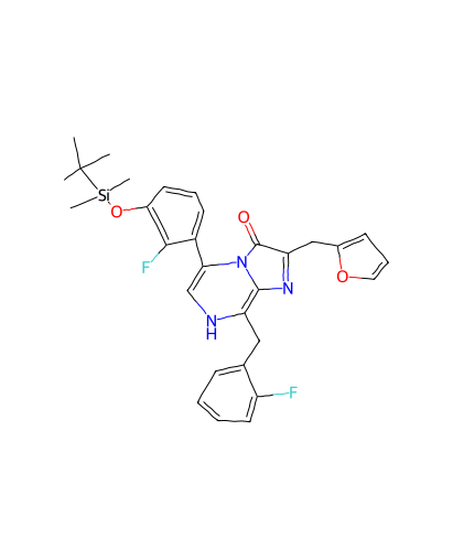 CC(C)(C)[Si](C)(C)Oc1cccc(-c2c[nH]c(Cc3ccccc3F)c3nc(Cc4ccco4)c(=O)n2-3)c1F